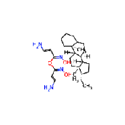 CC[C@H]1CC[C@H]2[C@@H]3CCC4CCCC[C@]4(C)[C@H]3CC[C@]12C.NC=CC(=NO)OC(C=CN)=NO